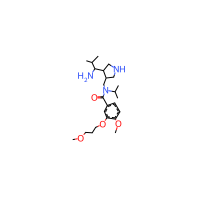 COCCCOc1cc(C(=O)N(CC2CNCC2C(N)C(C)C)C(C)C)ccc1OC